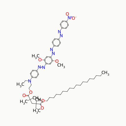 CCCCCCCCCCCCCCCCCCOC(=O)C(C)(CC)CC(C)(C)C(=O)OCCN(CC)c1ccc(/N=N/c2cc(OC)c(/N=N/c3ccc(/N=N/c4ccc([N+](=O)[O-])cc4)cc3)cc2OC)cc1